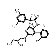 CN(C(=O)C(C)(C)c1cc(C(F)(F)F)cc(C(F)(F)F)c1)c1cnc(NCC(O)CO)cc1-c1ccccc1Cl